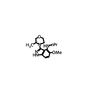 CCCNc1c(OC)ccc2[nH]nc(N3CCOCC3C)c12